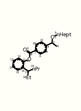 CCCCCCCOC(C)c1ccc(C(=O)Oc2ccccc2C(CC)CCC)cc1